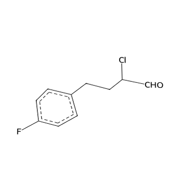 O=CC(Cl)CCc1ccc(F)cc1